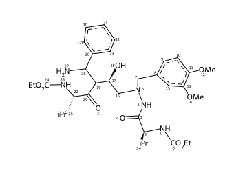 CCOC(=O)N[C@H](C(=O)NN(Cc1ccc(OC)c(OC)c1)C[C@H](O)C(C(=O)[C@@H](NC(=O)OCC)C(C)C)C(N)c1ccccc1)C(C)C